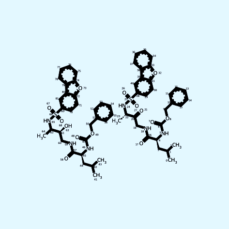 CC(C)C[C@H](NC(=O)OCc1ccccc1)C(=O)NCC(=O)[C@H](C)NS(=O)(=O)c1ccc2oc3ccccc3c2c1.CC(C)C[C@H](NC(=O)OCc1ccccc1)C(=O)NC[C@H](O)C(C)NS(=O)(=O)c1ccc2oc3ccccc3c2c1